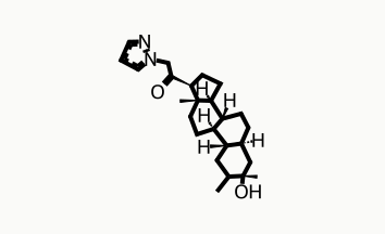 CC1C[C@H]2[C@@H](CC[C@@H]3[C@@H]2CC[C@]2(C)[C@@H](C(=O)Cn4cccn4)CC[C@@H]32)C[C@]1(C)O